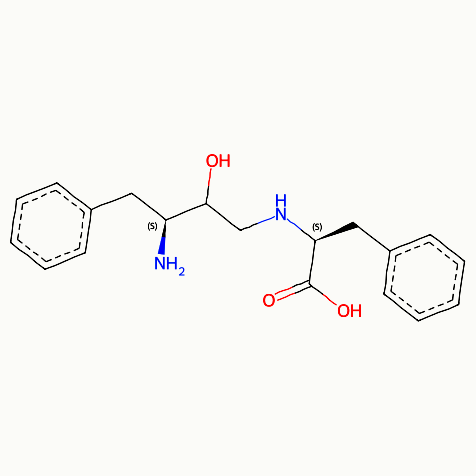 N[C@@H](Cc1ccccc1)C(O)CN[C@@H](Cc1ccccc1)C(=O)O